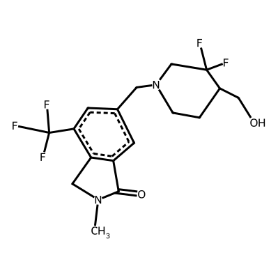 CN1Cc2c(cc(CN3CCC(CO)C(F)(F)C3)cc2C(F)(F)F)C1=O